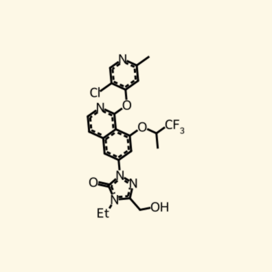 CCn1c(CO)nn(-c2cc(OC(C)C(F)(F)F)c3c(Oc4cc(C)ncc4Cl)nccc3c2)c1=O